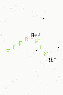 [B+3].[Be+2].[F-].[F-].[F-].[F-].[F-].[F-].[Rb+]